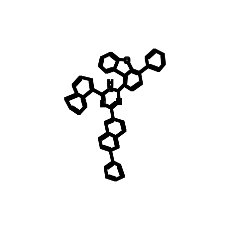 c1ccc(-c2ccc3cc(C4=NC(c5ccc(-c6ccccc6)c6oc7ccccc7c56)NC(c5cccc6ccccc56)=N4)ccc3c2)cc1